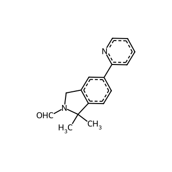 CC1(C)c2ccc(-c3ccccn3)cc2CN1C=O